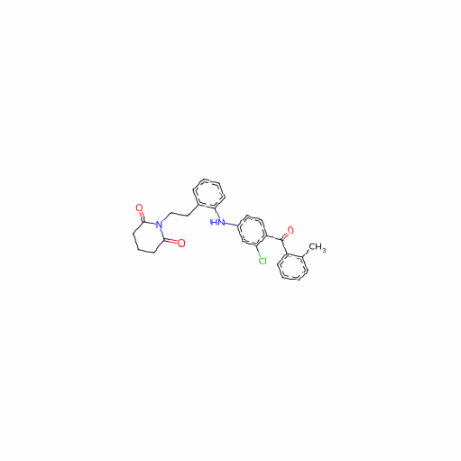 Cc1ccccc1C(=O)c1ccc(Nc2ccccc2CCN2C(=O)CCCC2=O)cc1Cl